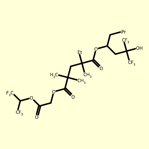 CCC(C)(CC(C)(C)C(=O)OCC(=O)OC(C(F)(F)F)C(F)(F)F)C(=O)OC(CC(C)C)CC(O)(C(F)(F)F)C(F)(F)F